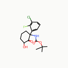 CC(C)(C)OC(=O)NC1(c2cccc(Cl)c2F)CCCC(O)C1=O